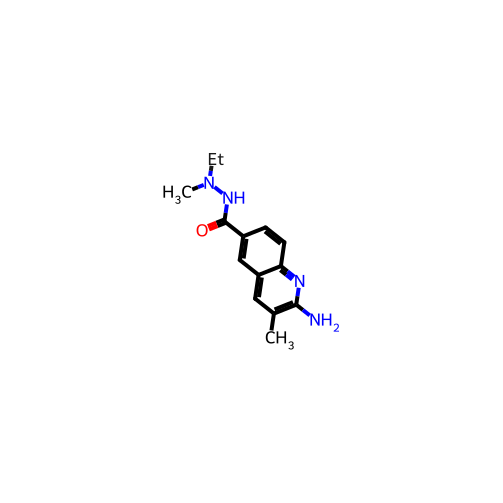 CCN(C)NC(=O)c1ccc2nc(N)c(C)cc2c1